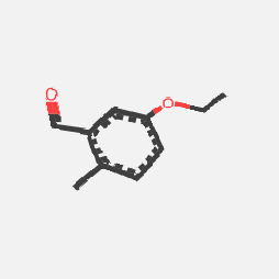 CCOc1ccc(C)c(C=O)c1